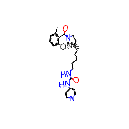 COc1cccc(C)c1C(=O)N1CCC(CCCCCNC(=O)Nc2ccncc2)C1